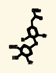 COC(=O)Cc1cc(Br)c(Oc2cc(C=O)c(O)c(C(C)C)c2)c(Br)c1